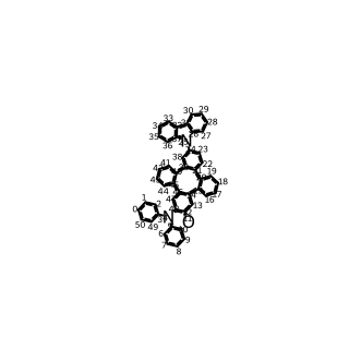 c1ccc(-n2c3ccccc3oc3cc4c5ccccc5c5ccc(-n6c7ccccc7c7ccccc76)cc5c5ccccc5c4cc32)cc1